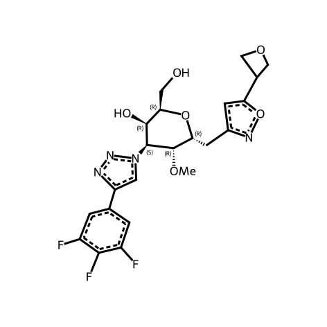 CO[C@@H]1[C@@H](n2cc(-c3cc(F)c(F)c(F)c3)nn2)[C@@H](O)[C@@H](CO)O[C@@H]1Cc1cc(C2COC2)on1